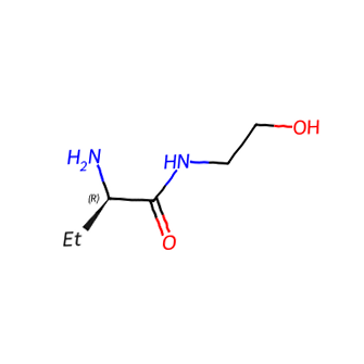 CC[C@@H](N)C(=O)NCCO